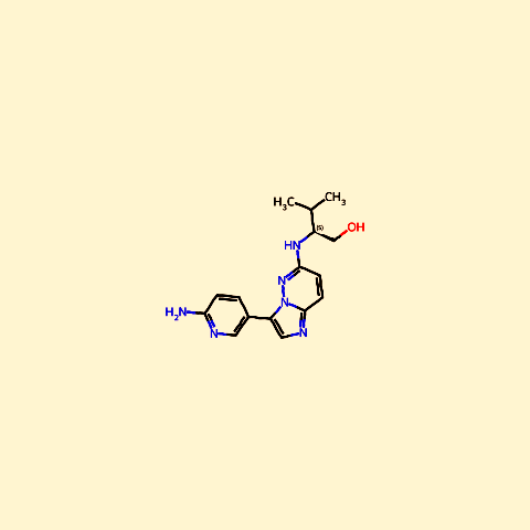 CC(C)[C@@H](CO)Nc1ccc2ncc(-c3ccc(N)nc3)n2n1